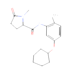 COc1ccc(OC2CCCCC2)cc1NC(=O)C1CCC(=O)N1C